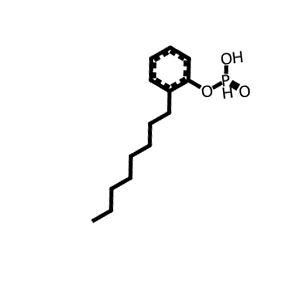 CCCCCCCCc1ccccc1O[PH](=O)O